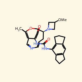 COC1CN([C@H]2C/C=C/N=C\C(C(=C=O)NC(=O)Nc3c4c(cc5c3CCC5)CCC4)=C(/C)OC2)C1